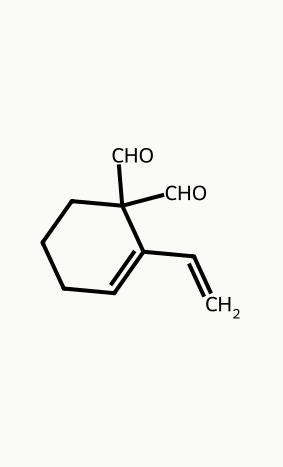 C=CC1=CCCCC1(C=O)C=O